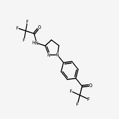 O=C(NC1=NN(c2ccc(C(=O)C(F)(F)F)cc2)CC1)C(F)(F)F